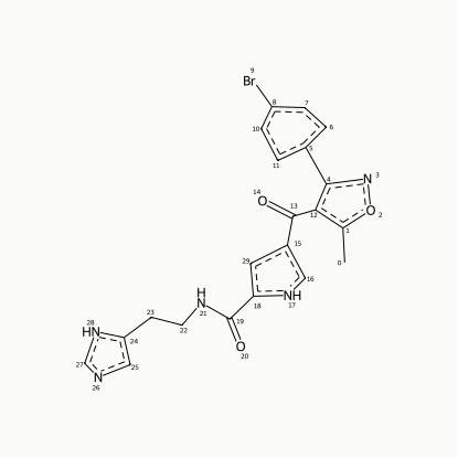 Cc1onc(-c2ccc(Br)cc2)c1C(=O)c1c[nH]c(C(=O)NCCc2cnc[nH]2)c1